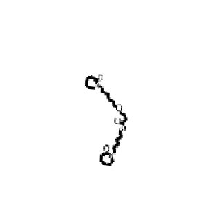 O=C(/C=C\COCCCCCCN1CCCCCC1=O)OCCCCCCN1CCCCCC1=O